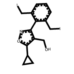 OCc1c(-c2c(CI)cccc2CI)noc1C1CC1